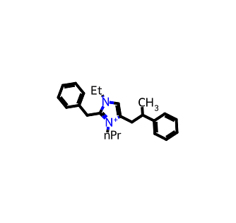 CCC[n+]1c(CC(C)c2ccccc2)cn(CC)c1Cc1ccccc1